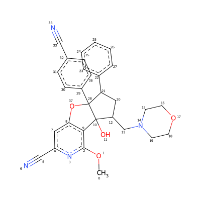 COc1nc(C#N)cc2c1C1(O)C(CN3CCOCC3)CC(c3ccccc3)C1(c1ccc(C#N)cc1)O2